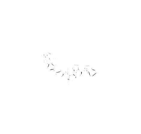 C/C(=C\C(=O)N[C@H](C(=O)N1CCC[C@H]1C(=O)N1CCc2ccccc21)C(C)(C)C)c1ccc(OP(=O)(O)O)cc1